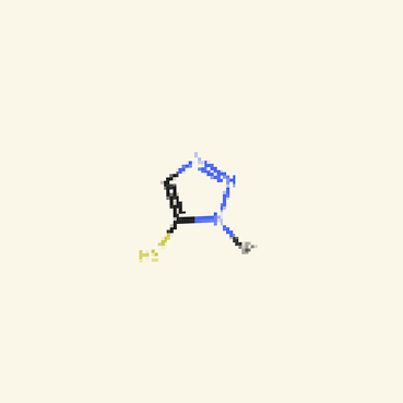 CC(C)n1nncc1S